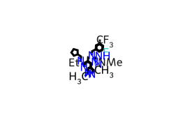 CCN(CC1CCCC1)c1nc2c(cc1CN(Cc1cc(F)cc(C(F)(F)F)c1)C(=N)/N=N\NC)c(C)nn2C